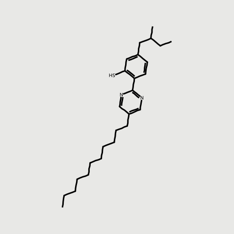 CCCCCCCCCCCc1cnc(-c2ccc(CC(C)CC)cc2S)nc1